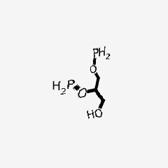 OCC(COP)OP